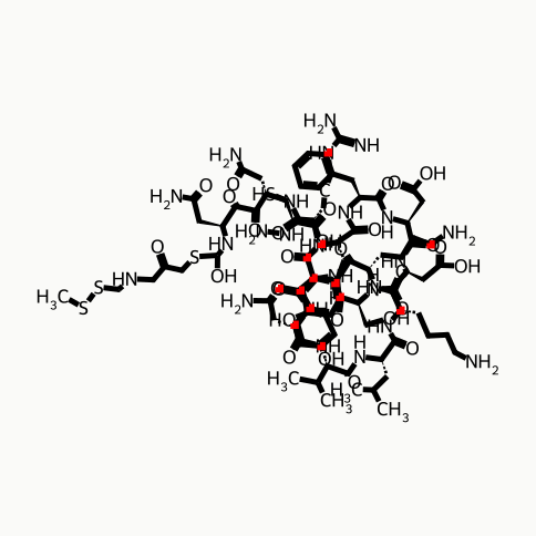 CSSCNCC(=O)CSC(O)N[C@@H](CC(N)=O)C(=O)C(=O)[C@H](CC(N)=O)NC(=O)[C@H](CCCNC(=N)N)NC(=O)[C@H](Cc1ccc(O)cc1)NC(=O)[C@H](CCCCN)NC(=O)[C@H](CCCCN)NC(=O)[C@H](CC(C)C)NC(=O)[C@@H](NC(=O)[C@H](CC(N)=O)NC(=O)[C@H](CO)NC(=O)[C@H](CO)NC(=O)[C@H](CC(=O)O)NC(=O)[C@H](CC(=O)O)NC(=O)[C@H](Cc1ccccc1)NC(=O)[C@H](Cc1ccc(O)cc1)NC(=O)[C@H](CS)NN)C(C)C